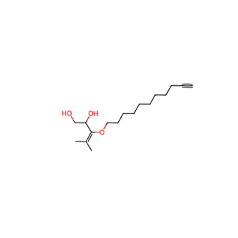 C#CCCCCCCCCCOC(=C(C)C)C(O)CO